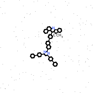 CC1(C)c2ccccc2-c2nc3ccc4ccccc4c3c(-c3ccc(-c4ccc5cc(-c6nc(-c7ccc(-c8ccccc8)cc7)cc(-c7ccc(-c8ccccc8)cc7)n6)ccc5c4)cc3)c21